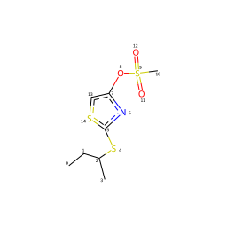 CCC(C)Sc1nc(OS(C)(=O)=O)cs1